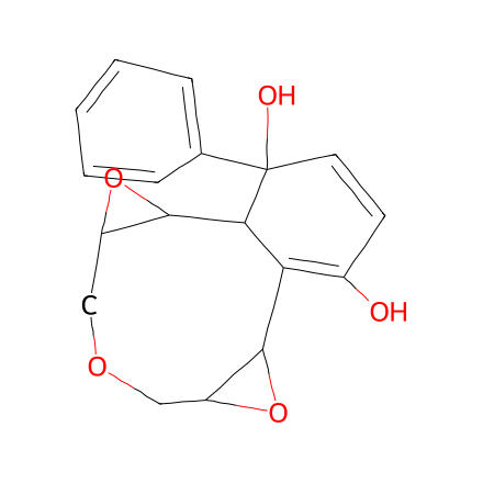 OC1=C2C3OC3COCC3OC3C2C(O)(c2ccccc2)C=C1